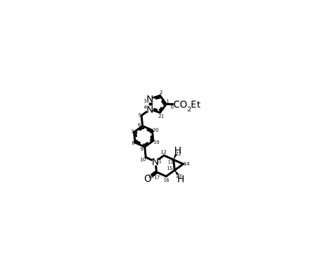 CCOC(=O)c1cnn(Cc2ccc(CN3C[C@@H]4C[C@@H]4CC3=O)cc2)c1